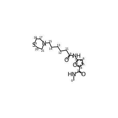 CNC(=O)c1ccc(NC(=O)CCCCCN2CCSCC2)o1